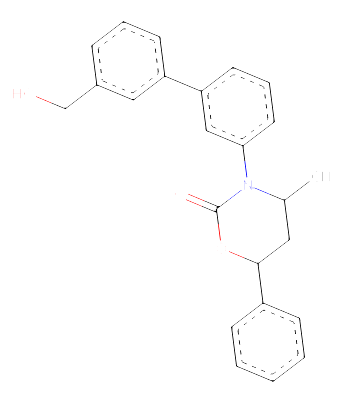 CC1CC(c2ccccc2)OC(=O)N1c1cccc(-c2cccc(CO)c2)c1